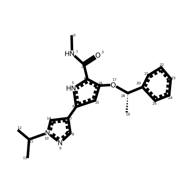 CNC(=O)c1[nH]c(-c2cnn(C(C)C)c2)cc1O[C@@H](C)c1ccccc1